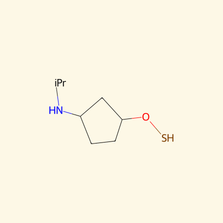 CC(C)NC1CCC(OS)C1